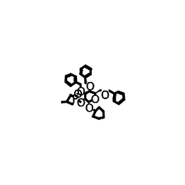 CC1CP(=O)(O[C@H]2[C@H](OC3CCCCC3)O[C@H](COCc3ccccc3)[C@@H](OCc3ccccc3)[C@@H]2OCc2ccccc2)C1